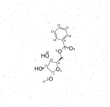 CO[C@H]1O[C@H](COC(=O)c2ccccc2)[C@@H](O)[C@H]1O